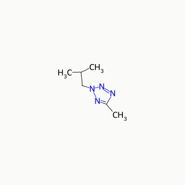 Cc1nnn(CC(C)C)n1